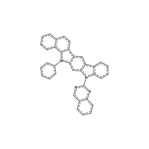 c1ccc(-n2c3cc4c(cc3c3ccc5ccccc5c32)c2ccccc2n4-c2ncc3ccccc3n2)cc1